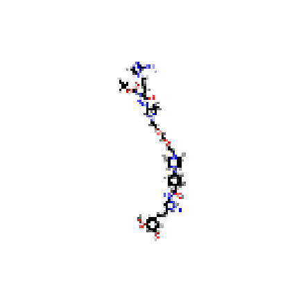 COc1cc(CCc2cc(NC(=O)c3ccc(N4C[C@@H](C)N(CCOCCOCCN5C[C@H](NC(=O)[C@H](CCCn6ccnc6N)NC(=O)OC(C)(C)C)C(C)(C)C5)[C@@H](C)C4)cc3)n[nH]2)cc(OC)c1